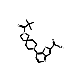 CC(C)(C)C(=O)N1CCC2(CCN(c3ncnc4cc(C(N)=O)sc34)CC2)C1